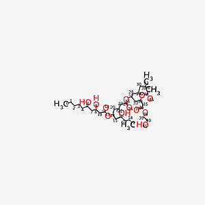 CCCCCC(O)CC(O)CC(=O)OC(CCCCC)CC(O)CC(=O)OC(CCCCC)CC(CC(=O)OCCO)OC(C)=O